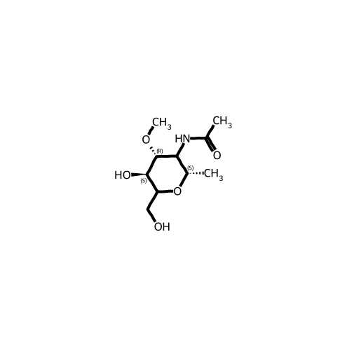 CO[C@@H]1C(NC(C)=O)[C@H](C)OC(CO)[C@H]1O